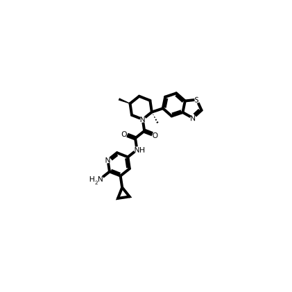 C[C@H]1CC[C@@](C)(c2ccc3scnc3c2)N(C(=O)C(=O)Nc2cnc(N)c(C3CC3)c2)C1